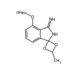 CCCCCCOc1cccc2c1C(=N)NC21OC(C)O1